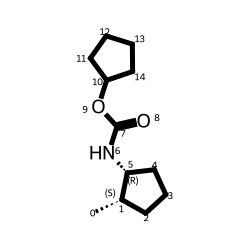 C[C@H]1CCC[C@H]1NC(=O)OC1CCCC1